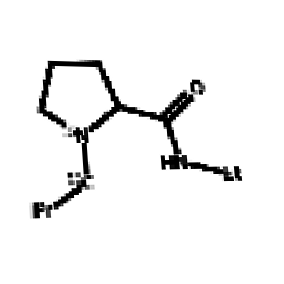 [13CH3]CNC(=O)C1CCC[15N]1[13CH2][13CH]([13CH3])[13CH3]